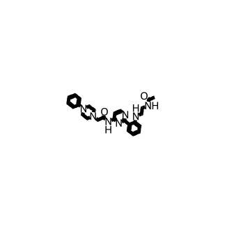 CC(=O)NCCNc1ccccc1-c1nccc(NC(=O)CN2CCN(c3ccccc3)CC2)n1